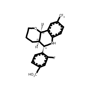 O=C(O)c1ccc([C@H]2Nc3ccc(C(F)(F)F)cc3[C@@H]3OCCC[C@H]23)c(F)c1